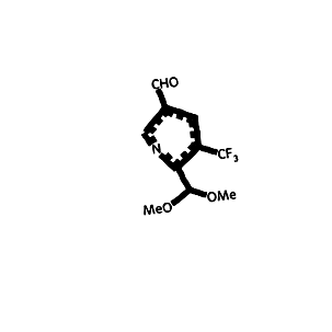 COC(OC)c1ncc(C=O)cc1C(F)(F)F